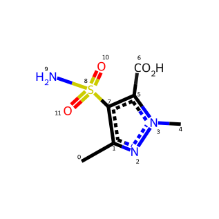 Cc1nn(C)c(C(=O)O)c1S(N)(=O)=O